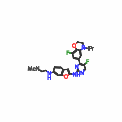 CNCCNc1ccc2cc(Nc3ncc(F)c(-c4cc(F)c5c(c4)N(C(C)C)CCO5)n3)oc2c1